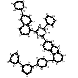 c1ccc(-c2cccc(-c3ccc(-c4cccc5oc6cc(-c7nc(-c8ccccc8)nc(-c8cccc9cc(-c%10ccccc%10)ccc89)n7)ccc6c45)cc3)c2)cc1